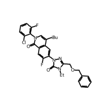 CCC(C)c1cn(-c2c(F)cccc2Cl)c(=O)c2cc(F)c(-n3nc(COCc4ccccc4)n(CC)c3=O)cc12